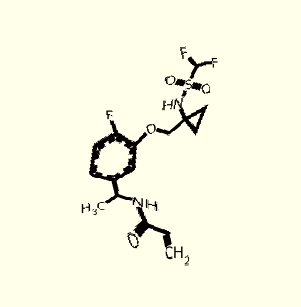 C=CC(=O)NC(C)c1ccc(F)c(OCC2(NS(=O)(=O)C(F)F)CC2)c1